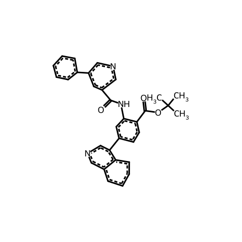 CC(C)(C)OC(=O)c1ccc(-c2cncc3ccccc23)cc1NC(=O)c1cncc(-c2ccccc2)c1